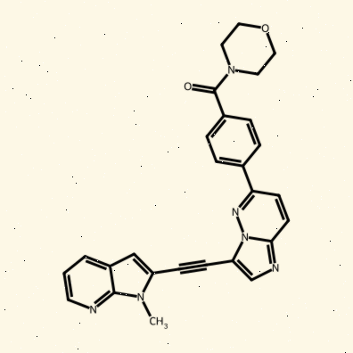 Cn1c(C#Cc2cnc3ccc(-c4ccc(C(=O)N5CCOCC5)cc4)nn23)cc2cccnc21